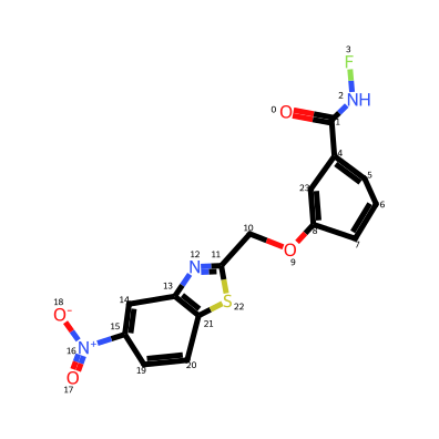 O=C(NF)c1cccc(OCc2nc3cc([N+](=O)[O-])ccc3s2)c1